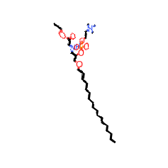 CCCCCCCCCCCCCCCCCCOCC(CNCC(=O)OCC)OP(=O)([O-])OCC[N+](C)(C)C